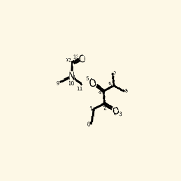 CCC(=O)C(=O)C(C)C.CN(C)C=O